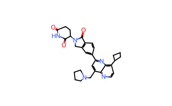 O=C1CCC(N2Cc3cc(-c4cc(CN5CCCC5)c5nccc(C6CCC6)c5n4)ccc3C2=O)C(=O)N1